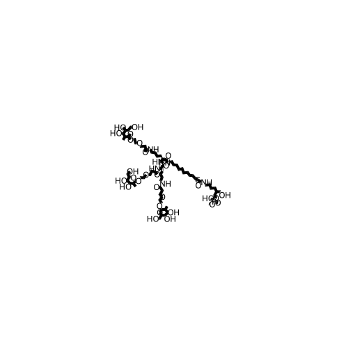 COP(=O)(O)OCC(CO)CCCCNC(=O)CCCCCCCCCCCNC(=O)[C@H](CCCCNC(=O)CCOCCOC1OC(CO)C(O)C(O)C1C)NC(=O)[C@H](CCCCNC(=O)CCOCCOC1OC(CO)C(O)C(O)C1C)NC(=O)CCOCCOC1OC(CO)C(O)C(O)C1C